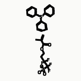 C=C(C)C(=O)OCCC(F)(F)C(F)(F)S(=O)(=O)[O-].c1ccc([S+](c2ccccc2)c2ccccc2)cc1